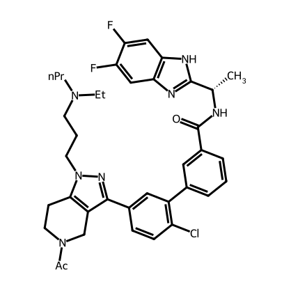 CCCN(CC)CCCn1nc(-c2ccc(Cl)c(-c3cccc(C(=O)N[C@@H](C)c4nc5cc(F)c(F)cc5[nH]4)c3)c2)c2c1CCN(C(C)=O)C2